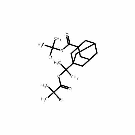 CCC(C)(C)OC(=O)C12CC3CC(C1)CC(C(C)(C)OC(=O)C(C)(C)CC)(C3)C2